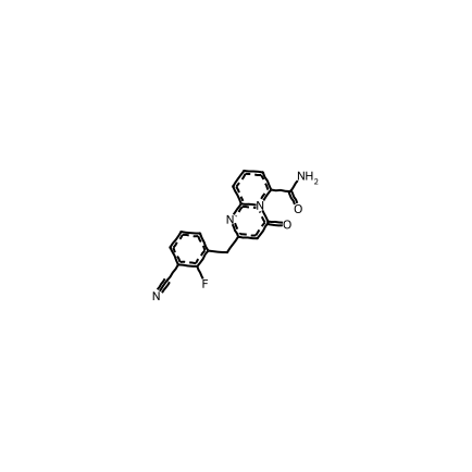 N#Cc1cccc(Cc2cc(=O)n3c(C(N)=O)cccc3n2)c1F